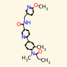 CCC(=O)N(C)c1ccc(-c2ccc(C(=O)NCc3ccc(OC)nc3)cn2)cc1C